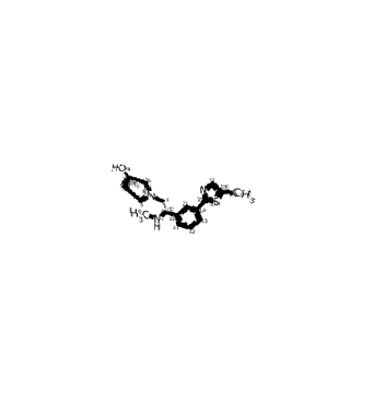 CN[C@H](CN1CC[C@@H](O)C1)c1cccc(-c2ncc(C)s2)c1